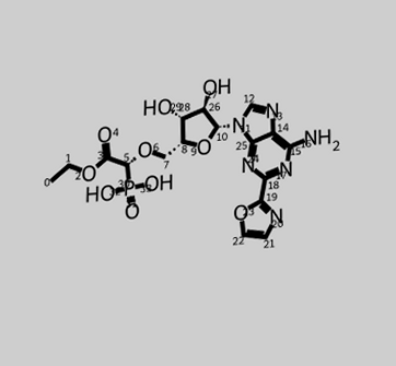 CCOC(=O)[C@H](OC[C@H]1O[C@@H](n2cnc3c(N)nc(-c4ncco4)nc32)[C@H](O)[C@H]1O)P(=O)(O)O